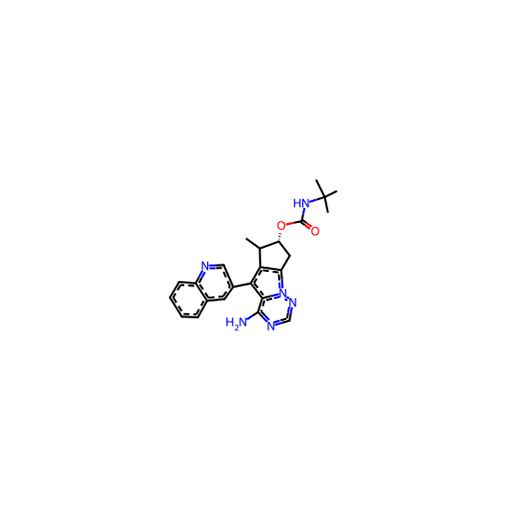 CC1c2c(-c3cnc4ccccc4c3)c3c(N)ncnn3c2C[C@H]1OC(=O)NC(C)(C)C